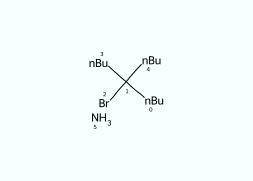 CCCCC(Br)(CCCC)CCCC.N